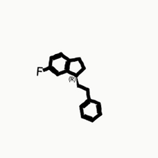 Fc1ccc2c(c1)[C@H](CCc1ccccc1)CC2